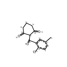 Cc1ccc(Cl)c(C(=O)C2C(=O)CCCC2=O)c1